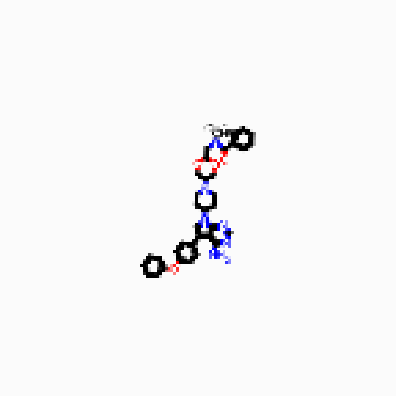 CN(CC1OCC(N2CCC(n3cc(-c4ccc(Oc5ccccc5)cc4)c4c(N)ncnc43)CC2)CO1)C(=O)c1ccccc1C=O